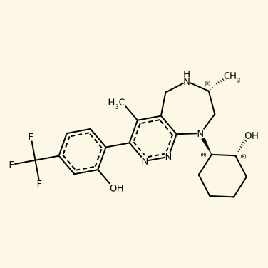 Cc1c(-c2ccc(C(F)(F)F)cc2O)nnc2c1CN[C@H](C)CN2[C@@H]1CCCC[C@H]1O